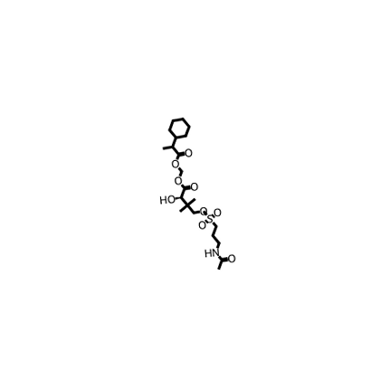 CC(=O)NCCCS(=O)(=O)OCC(C)(C)[C@@H](O)C(=O)OCOC(=O)C(C)C1CCCCC1